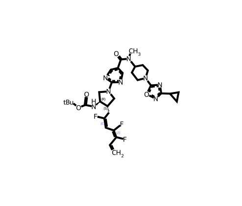 C=C/C(F)=C(F)\C=C(\F)C[C@H]1CN(c2ncc(C(=O)N(C)C3CCN(c4nc(C5CC5)no4)CC3)cn2)C[C@@H]1NC(=O)OC(C)(C)C